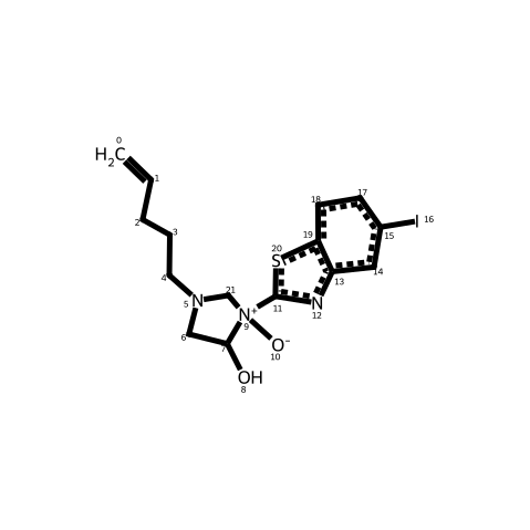 C=CCCCN1CC(O)[N+]([O-])(c2nc3cc(I)ccc3s2)C1